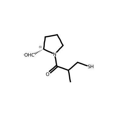 CC(CS)C(=O)N1CCC[C@H]1[C]=O